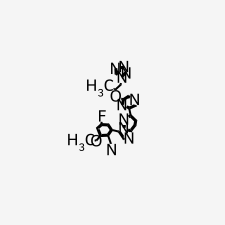 COc1cc(F)cc(-c2cnc3ccc(-c4cncc(O[C@@H](C)Cn5cnnn5)n4)nn23)c1C#N